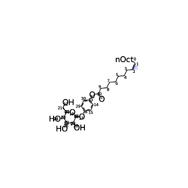 CCCCCCCC/C=C\CCCCCCCC(=O)Oc1ccc(O[C@@H]2O[C@H](CO)[C@@H](O)[C@H](O)[C@H]2O)cc1